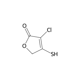 O=C1OCC(S)=C1Cl